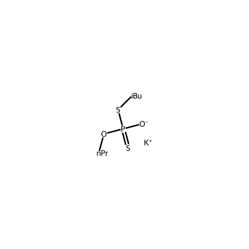 CCCOP([O-])(=S)SC(C)CC.[K+]